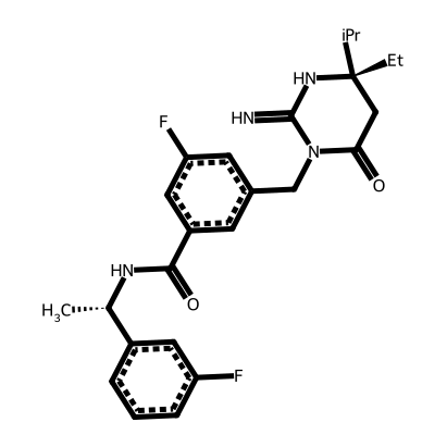 CC[C@@]1(C(C)C)CC(=O)N(Cc2cc(F)cc(C(=O)N[C@@H](C)c3cccc(F)c3)c2)C(=N)N1